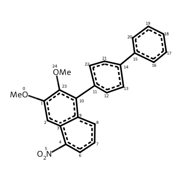 COc1cc2c([N+](=O)[O-])cccc2c(-c2ccc(-c3ccccc3)cc2)c1OC